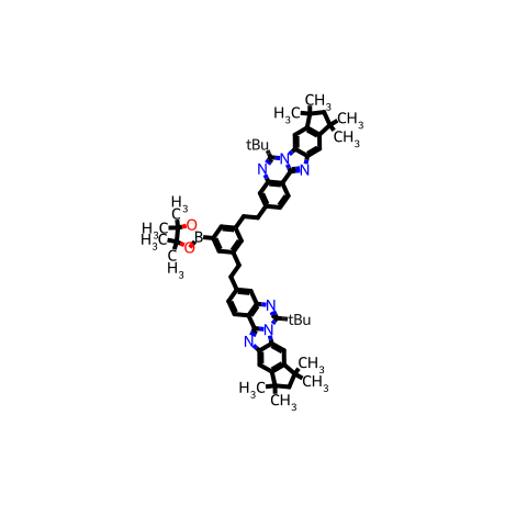 CC(C)(C)c1nc2cc(CCc3cc(CCc4ccc5c(c4)nc(C(C)(C)C)n4c6cc7c(cc6nc54)C(C)(C)CC7(C)C)cc(B4OC(C)(C)C(C)(C)O4)c3)ccc2c2nc3cc4c(cc3n12)C(C)(C)CC4(C)C